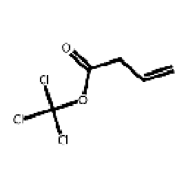 C=CCC(=O)OC(Cl)(Cl)Cl